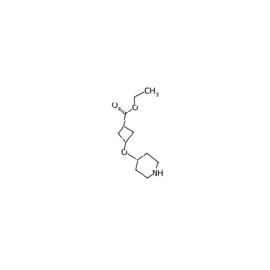 CCOC(=O)C1CC(OC2CCNCC2)C1